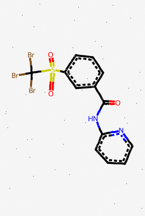 O=C(Nc1ccccn1)c1cccc(S(=O)(=O)C(Br)(Br)Br)c1